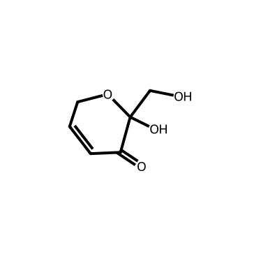 O=C1C=CCOC1(O)CO